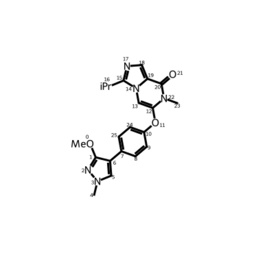 COc1nn(C)cc1-c1ccc(Oc2cn3c(C(C)C)ncc3c(=O)n2C)cc1